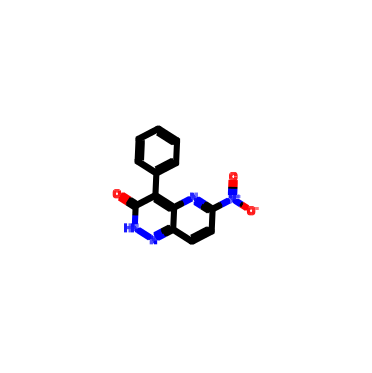 O=c1[nH]nc2ccc([N+](=O)[O-])nc2c1-c1ccccc1